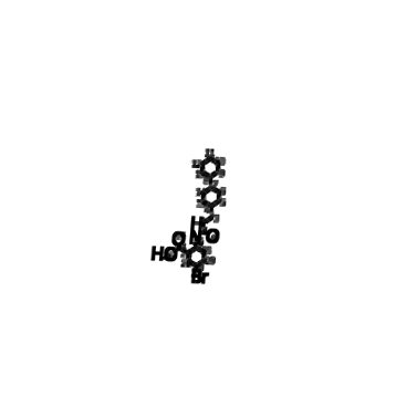 O=C(/C=C/c1ccc(-c2ccccc2)cc1)Nc1ccc(Br)cc1C(=O)O